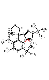 COc1c(C(C)(C)C)cc(C)c([SiH](C)C)c1C1(C2=CC([Si](C)(C)C)C=C2)CCCC1